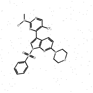 C[S+]([O-])c1ncc(C(F)(F)F)c(-c2cn(S(=O)(=O)c3ccccc3)c3nc(N4CCOCC4)ccc23)n1